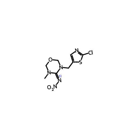 CN1COCN(Cc2cnc(Cl)s2)/C1=N/[N+](=O)[O-]